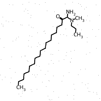 CCCCCCCCCCCCCCCCCC(=O)C(N)N(C)CCC